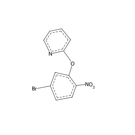 O=[N+]([O-])c1ccc(Br)cc1Oc1ccccn1